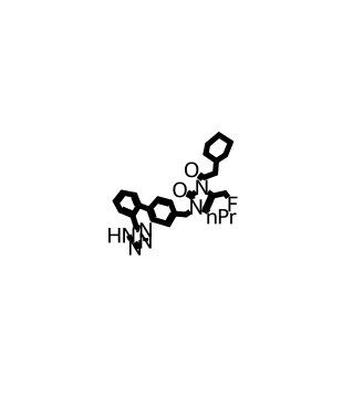 CCCc1c(CF)n(C(=O)CC2CCCCC2)c(=O)n1Cc1ccc(-c2ccccc2-c2nnn[nH]2)cc1